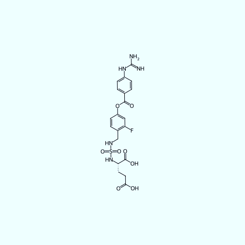 N=C(N)Nc1ccc(C(=O)Oc2ccc(CNS(=O)(=O)N[C@@H](CCC(=O)O)C(=O)O)c(F)c2)cc1